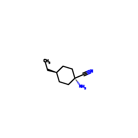 CC[C@H]1CC[C@@](N)(C#N)CC1